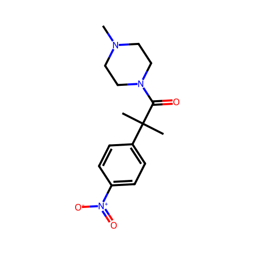 CN1CCN(C(=O)C(C)(C)c2ccc([N+](=O)[O-])cc2)CC1